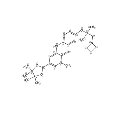 Cn1nc(B2OC(C)(C)C(C)(C)O2)cc(Nc2ccc(OC(C)(C)CN3CCC3)cn2)c1=O